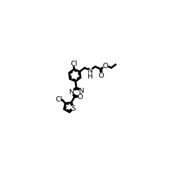 CCOC(=O)CNCc1cc(-c2noc(-c3sccc3Cl)n2)ccc1Cl